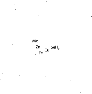 [Cu].[Fe].[Mo].[SeH2].[Zn]